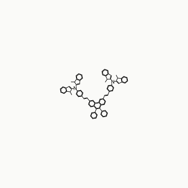 CC1C(N(C2=Cc3ccccc3C2C)c2ccc(/C=C/c3ccc4c(-c5ccccc5)c(-c5ccccc5)c5ccc(/C=C/c6ccc(N(C7=Cc8ccccc8C7C)C7=Cc8ccccc8C7C)cc6)cc5c4c3)cc2)=Cc2ccccc21